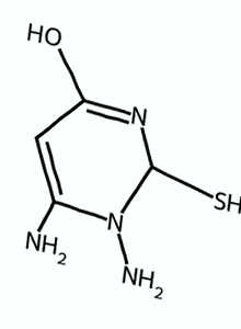 NC1=CC(O)=NC(S)N1N